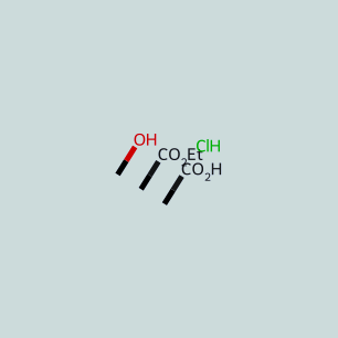 CC(=O)O.CCOC(C)=O.CO.Cl